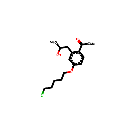 COC(=O)c1ccc(OCCCCCCl)cc1CC(O)OC